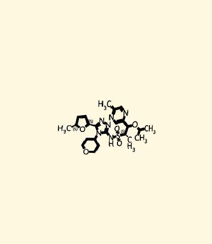 Cc1cnc(C(OC(C)C)[C@H](C)S(=O)(=O)Nc2nnc([C@@H]3CC[C@H](C)O3)n2C2CCOCC2)cn1